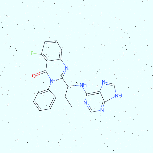 CCC(Nc1ncnc2[nH]cnc12)c1nc2cccc(F)c2c(=O)n1-c1ccccc1